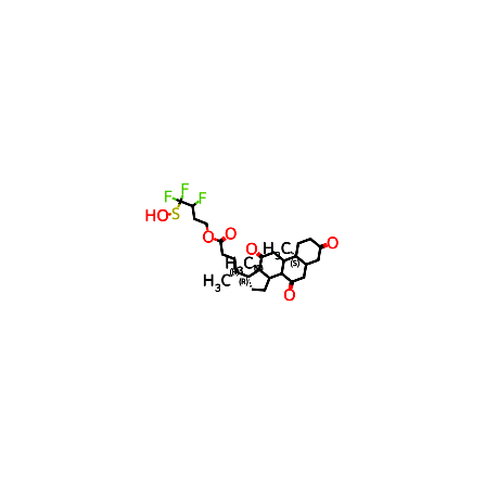 C[C@H](CCC(=O)OCCC(F)C(F)(F)SO)[C@H]1CCC2C3C(=O)CC4CC(=O)CC[C@]4(C)C3CC(=O)[C@@]21C